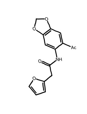 CC(=O)c1cc2c(cc1NC(=O)Cc1ccco1)OCO2